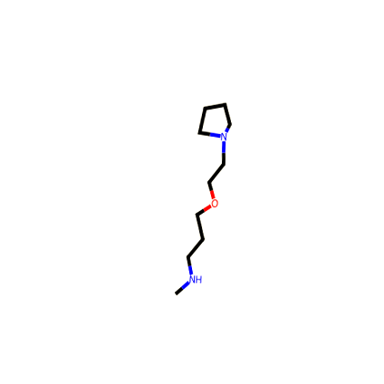 CNCCCOCCN1CCCC1